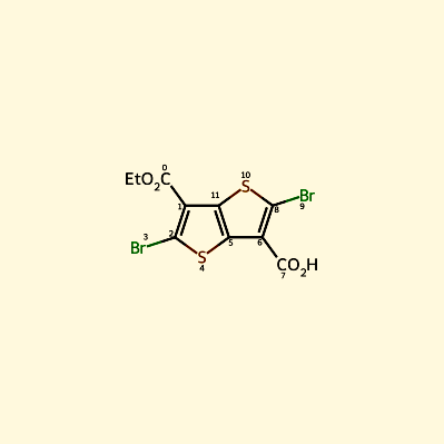 CCOC(=O)c1c(Br)sc2c(C(=O)O)c(Br)sc12